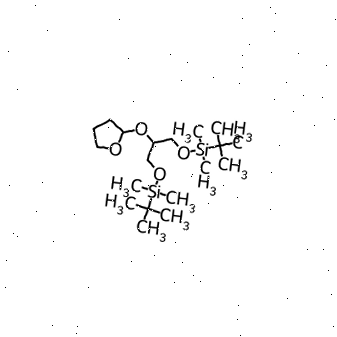 CC(C)(C)[Si](C)(C)OCC(CO[Si](C)(C)C(C)(C)C)OC1CCCO1